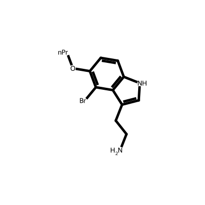 CCCOc1ccc2[nH]cc(CCN)c2c1Br